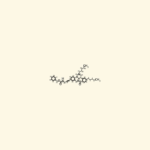 CCCCCc1ccc(C(=O)N(Cc2cccc(C#CCNC(=O)OCc3ccccc3)c2)C2CCN(CCCCC)CC2)cc1